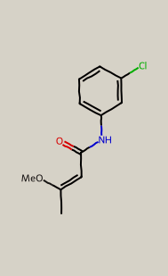 CO/C(C)=C\C(=O)Nc1cccc(Cl)c1